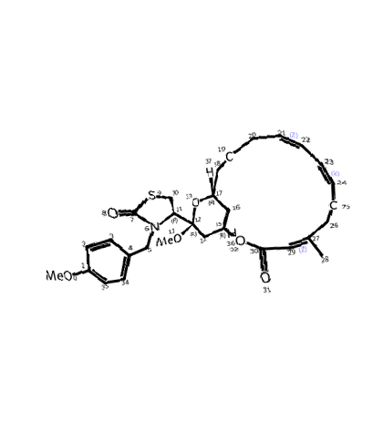 COc1ccc(CN2C(=O)SC[C@H]2[C@@]2(OC)C[C@H]3C[C@@H](CCC/C=C\C=C/CC/C(C)=C\C(=O)O3)O2)cc1